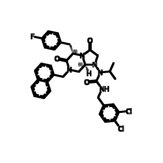 CC(C)N(C(=O)NCc1ccc(Cl)c(Cl)c1)N1CC(=O)N2[C@@H](Cc3ccc(F)cc3)C(=O)N(Cc3cccc4ccccc34)C[C@@H]21